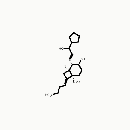 CO[C@@]12CC[C@H](O)[C@@H](/C=C/C(O)C3CCCC3)[C@@H]1CC2=CCCC(=O)O